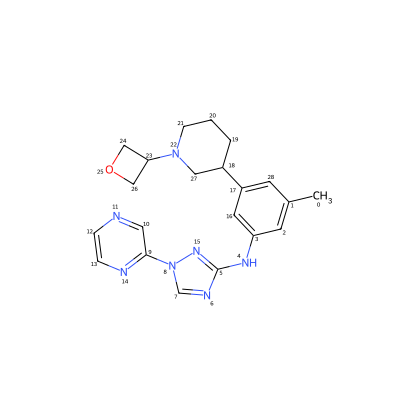 Cc1cc(Nc2ncn(-c3cnccn3)n2)cc(C2CCCN(C3COC3)C2)c1